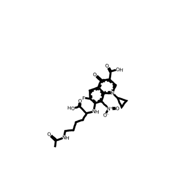 CC(=O)NCCCCC(Nc1c(F)cc2c(=O)c(C(=O)O)cn(C3CC3)c2c1[N+](=O)[O-])C(=O)O